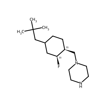 CC(C)(C)CC1CC[C@@H](CN2CCNCC2)[C@@H](F)C1